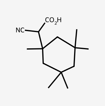 CC1(C)CC(C)(C)CC(C)(C(C#N)C(=O)O)C1